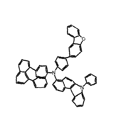 c1ccc(-c2cccc3cccc(-c4ccc(N(c5ccc(-c6ccc7oc8ccccc8c7c6)cc5)c5cccc6c5ccc5c6c6ccccc6n5-c5ccccc5)cc4)c23)cc1